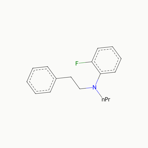 CCCN(CCc1ccccc1)c1ccccc1F